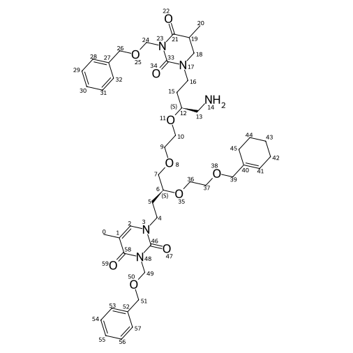 Cc1cn(CC[C@@H](COCCO[C@H](CN)CCN2CC(C)C(=O)N(COCc3ccccc3)C2=O)OCCOCC2=CCCCC2)c(=O)n(COCc2ccccc2)c1=O